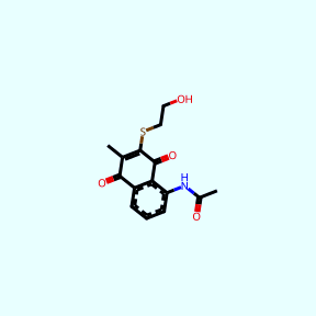 CC(=O)Nc1cccc2c1C(=O)C(SCCO)=C(C)C2=O